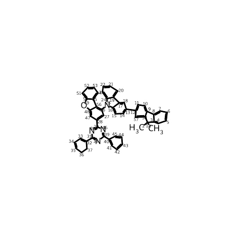 CC1(C)c2ccccc2-c2ccc(-c3ccc4c(c3)c3ccccc3n4-c3cc(-c4nc(C5=CC=CCC5)nc(-c5ccccc5)n4)cc4oc5ccccc5c34)cc21